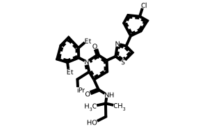 CCc1cccc(CC)c1-n1c(CC(C)C)c(C(=O)NC(C)(C)CO)cc(-c2nc(-c3ccc(Cl)cc3)cs2)c1=O